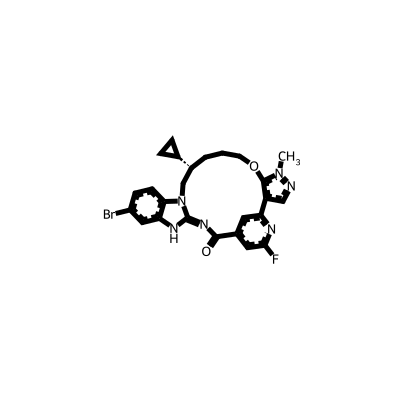 Cn1ncc2c1OCCC[C@@H](C1CC1)CN1/C(=N/C(=O)c3cc(F)nc-2c3)Nc2cc(Br)ccc21